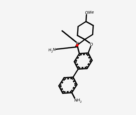 COC1CCC2(CC1)Oc1ccc(-c3cccc(N)c3)cc1C21N=C(N)N(C)O1